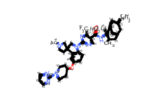 CC(=O)N1CCC2(C1)CN(c1ncc(C(=O)NC3(C(=O)O)C(C)CC4CC(C)CC3C4)c(C(F)(F)F)n1)c1ccc(OC3CCN(c4ncccn4)CC3)cc12